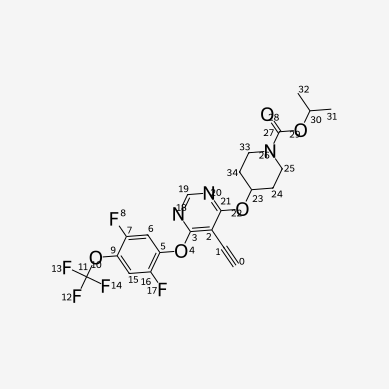 C#Cc1c(Oc2cc(F)c(OC(F)(F)F)cc2F)ncnc1OC1CCN(C(=O)OC(C)C)CC1